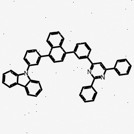 c1ccc(-c2cc(-c3cccc(-c4ccc(-c5cccc(-n6c7ccccc7c7ccccc76)c5)c5ccccc45)c3)nc(-c3ccccc3)n2)cc1